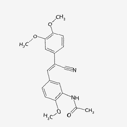 COc1ccc(C=C(C#N)c2ccc(OC)c(OC)c2)cc1NC(C)=O